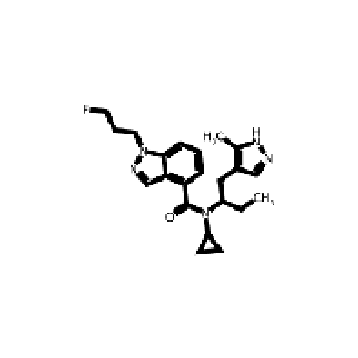 CCC(Cc1cn[nH]c1C)N(C(=O)c1cccc2c1cnn2CCCF)C1CC1